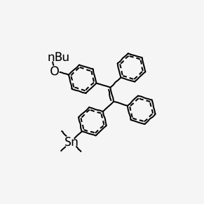 CCCCOc1ccc(C(=C(c2ccccc2)c2cc[c]([Sn]([CH3])([CH3])[CH3])cc2)c2ccccc2)cc1